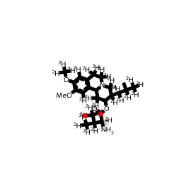 [2H]c1c(OC)c(OC([2H])([2H])[2H])c([2H])c2c1C1N(C([2H])([2H])C2([2H])[2H])C([2H])([2H])C([2H])(C([2H])([2H])C([2H])(C)C([2H])([2H])[2H])C(OC(=O)[C@@]([2H])(N)C([2H])(C([2H])([2H])[2H])C([2H])([2H])[2H])C1([2H])[2H]